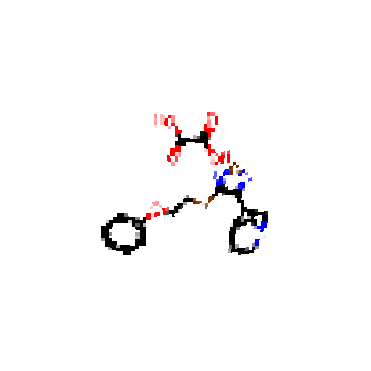 O=C(O)C(=O)O.c1ccc(OCCSc2nsnc2C2CN3CCC2C3)cc1